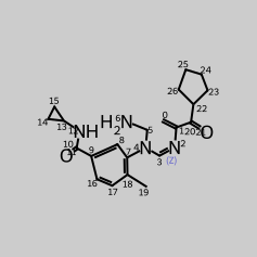 C=C(/N=C\N(CN)c1cc(C(=O)NC2CC2)ccc1C)C(=O)C1CCCC1